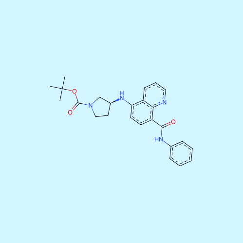 CC(C)(C)OC(=O)N1CC[C@H](Nc2ccc(C(=O)Nc3ccccc3)c3ncccc23)C1